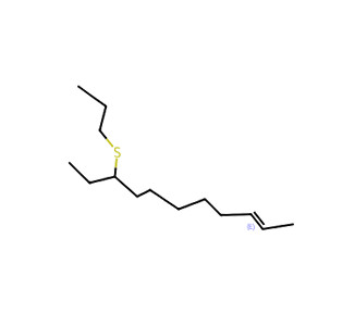 C/C=C/CCCCCC(CC)SCCC